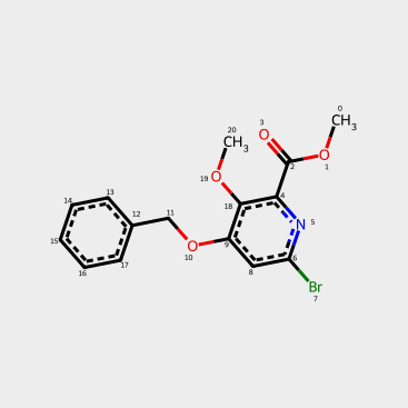 COC(=O)c1nc(Br)cc(OCc2ccccc2)c1OC